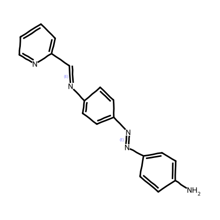 Nc1ccc(/N=N/c2ccc(/N=C/c3ccccn3)cc2)cc1